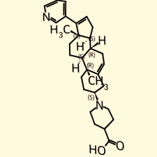 C[C@]12CC[C@H](N3CCC(C(=O)O)CC3)CC1=CC[C@@H]1[C@@H]2CC[C@]2(C)C(c3cccnc3)=CC[C@@H]12